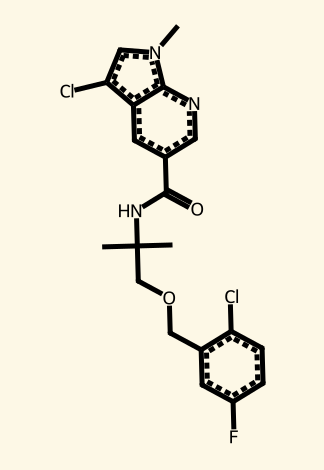 Cn1cc(Cl)c2cc(C(=O)NC(C)(C)COCc3cc(F)ccc3Cl)cnc21